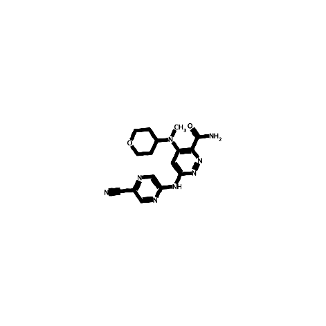 CN(c1cc(Nc2cnc(C#N)cn2)nnc1C(N)=O)C1CCOCC1